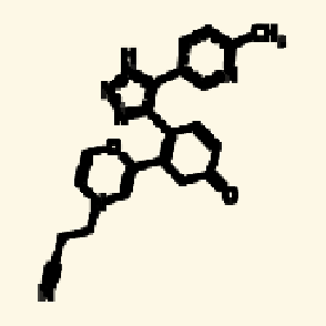 Cc1ccc(-c2[nH]nnc2C2=C(C3=CN(CCC#N)C=CO3)CC(=O)C=C2)cn1